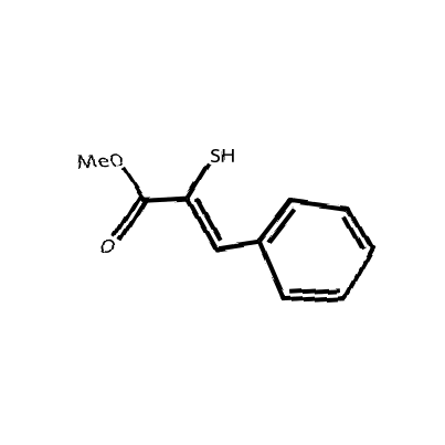 COC(=O)C(S)=Cc1ccccc1